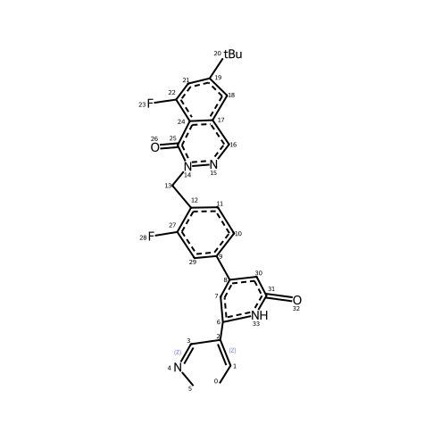 C/C=C(\C=N/C)c1cc(-c2ccc(Cn3ncc4cc(C(C)(C)C)cc(F)c4c3=O)c(F)c2)cc(=O)[nH]1